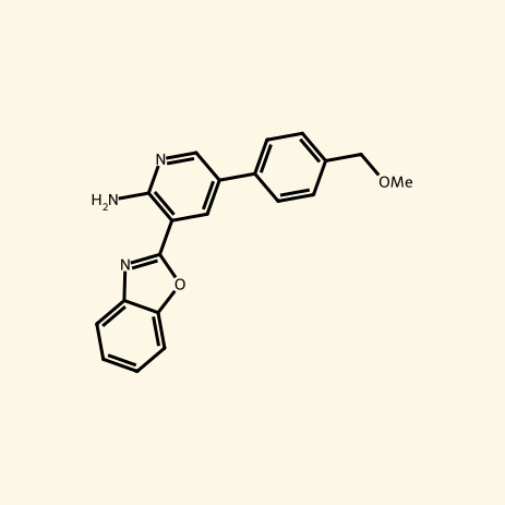 COCc1ccc(-c2cnc(N)c(-c3nc4ccccc4o3)c2)cc1